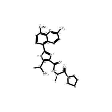 COc1ccc(-c2nc(C(=O)N[C@H](C)C(=O)N3CCCC3)c([C@H](C)N)o2)c2ccc(C(F)(F)F)nc12